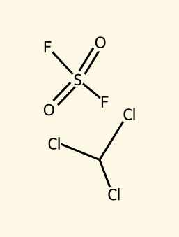 ClC(Cl)Cl.O=S(=O)(F)F